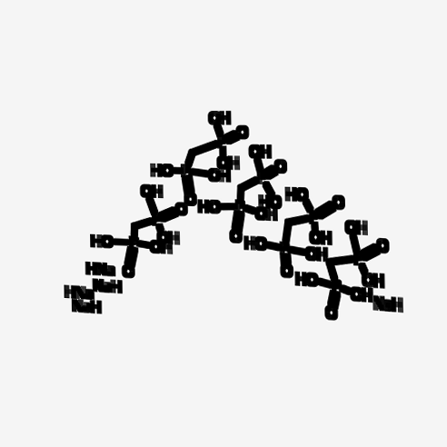 O=P(O)(O)CP(=O)(O)O.O=P(O)(O)CP(=O)(O)O.O=P(O)(O)CP(=O)(O)O.O=P(O)(O)CP(=O)(O)O.O=P(O)(O)CP(=O)(O)O.[NaH].[NaH].[NaH].[NaH].[NaH]